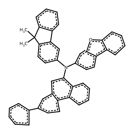 CC1(C)c2ccccc2-c2cc(N(c3ccc4c(c3)oc3ccccc34)c3cc4cc(-c5ccccc5)ccc4c4ccccc34)ccc21